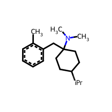 Cc1ccccc1CC1(N(C)C)CCC(C(C)C)CC1